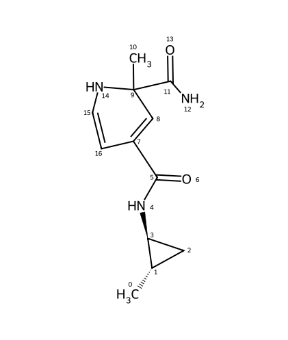 C[C@H]1C[C@@H]1NC(=O)C1=CC(C)(C(N)=O)NC=C1